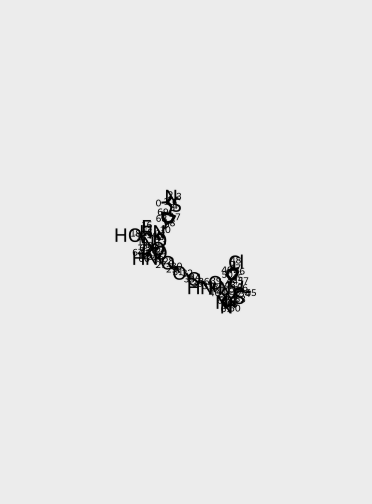 Cc1ncsc1-c1ccc(CNC(=O)[C@@H]2[C@@H](F)[C@@H](O)CN2C(=O)C(NC(=O)COCCOCCOCCNC(=O)C[C@@H]2N=C(c3ccc(Cl)cc3)c3c(sc(C)c3C)-n3c(C)nnc32)C(C)(C)C)cc1